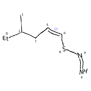 CCC(C)C/C=C\SN=N